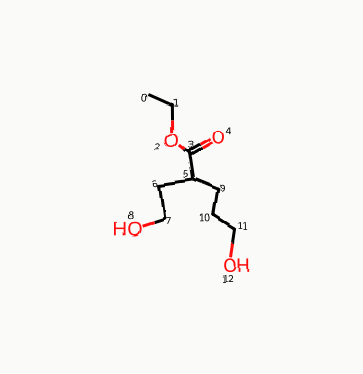 CCOC(=O)C(CCO)CCCO